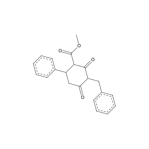 COC(=O)C1C(=O)C(Cc2ccccc2)C(=O)CC1c1ccccc1